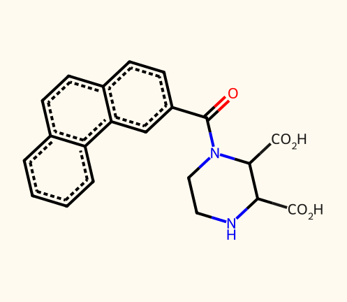 O=C(O)C1NCCN(C(=O)c2ccc3ccc4ccccc4c3c2)C1C(=O)O